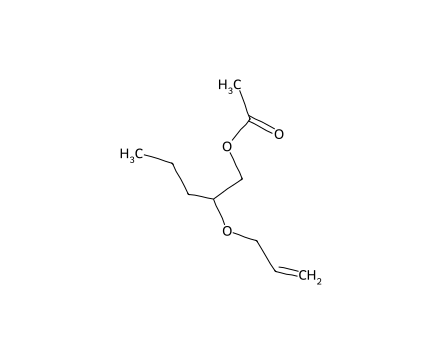 C=CCOC(CCC)COC(C)=O